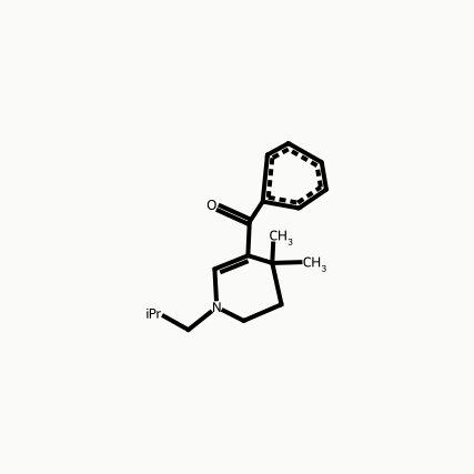 CC(C)CN1C=C(C(=O)c2ccccc2)C(C)(C)CC1